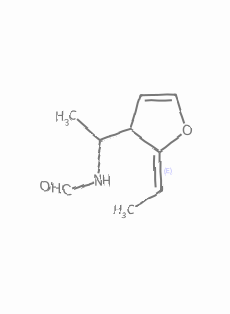 C/C=C1/OC=CC1C(C)NC=O